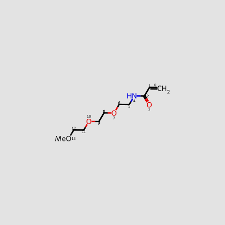 C=CC(=O)NCCOCCOCCOC